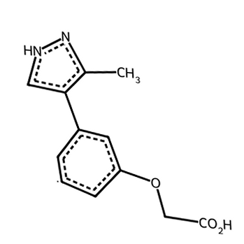 Cc1n[nH]cc1-c1c[c]cc(OCC(=O)O)c1